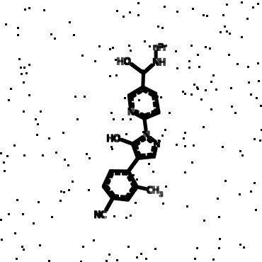 CCCNC(O)c1ccc(-n2ncc(-c3ccc(C#N)cc3C)c2O)nc1